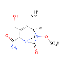 NC(=O)[C@@H]1C(CO)=C[C@@H]2CN1C(=O)N2OS(=O)(=O)O.[H+].[Na+]